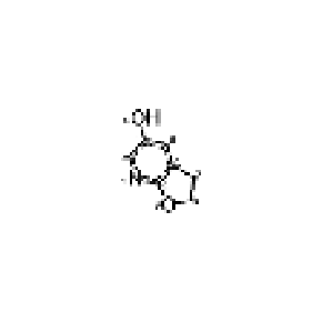 Oc1cnc2c(c1)CCO2